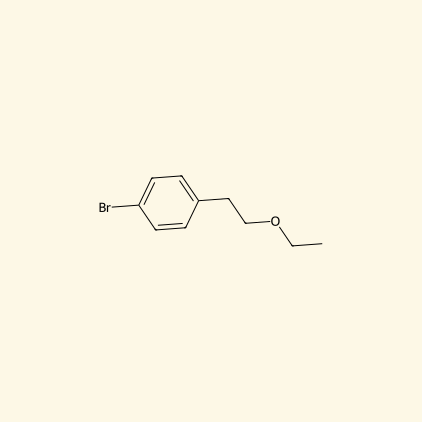 CCOCCc1ccc(Br)cc1